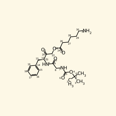 CC(C)(C)OC(=O)NCC(=O)N[C@@H](Cc1ccccc1)C(=O)COC(=O)CCCCCN